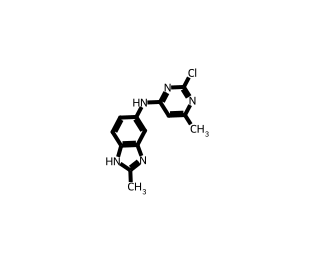 Cc1cc(Nc2ccc3[nH]c(C)nc3c2)nc(Cl)n1